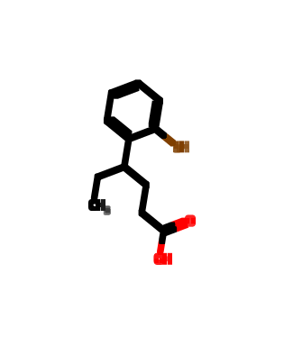 CCC(CCC(=O)O)c1ccccc1S